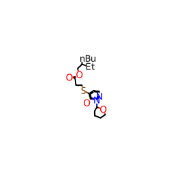 CCCCC(CC)COC(=O)CCSc1ccnn(C2CCCCO2)c1=O